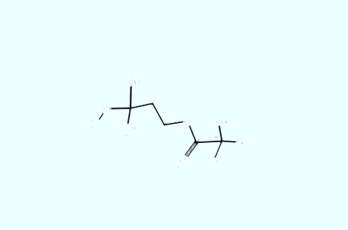 CCOC(C)(C)CCOC(=O)C(C)(C)Br